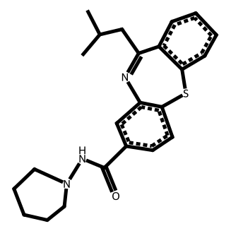 CC(C)CC1=Nc2cc(C(=O)NN3CCCCC3)ccc2Sc2ccccc21